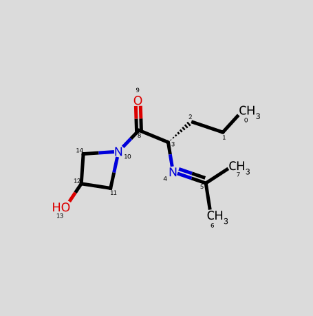 CCC[C@H](N=C(C)C)C(=O)N1CC(O)C1